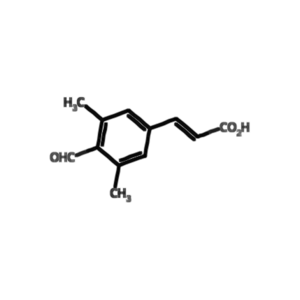 Cc1cc(C=CC(=O)O)cc(C)c1C=O